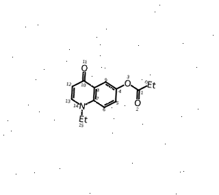 CCC(=O)Oc1ccc2c(c1)c(=O)ccn2CC